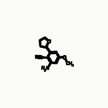 COc1cc(N)c(C#N)c(C2CCCO2)c1